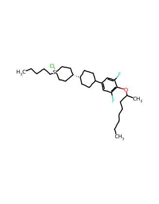 CCCCCCC(C)Oc1c(F)cc(C2CCC([C@H]3CC[Si@](Cl)(CCCCC)CC3)CC2)cc1F